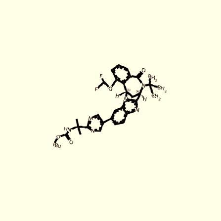 BC(B)(B)N1C(=O)c2cccc(OC(F)F)c2[C@@H]2C[C@@H]1c1nc3ccc(-c4cnc(C(C)(C)NC(=O)OC(C)(C)C)nc4)cc3n12